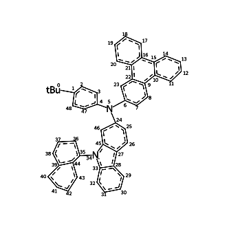 CC(C)(C)c1ccc(N(c2ccc3c4ccccc4c4ccccc4c3c2)c2ccc3c4ccccc4n(-c4cccc5ccccc45)c3c2)cc1